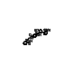 COc1ncccc1-c1ccc(O)c(-c2nc3cc(C(=O)NCc4nc5ccccc5c(=O)[nH]4)ccc3[nH]2)c1